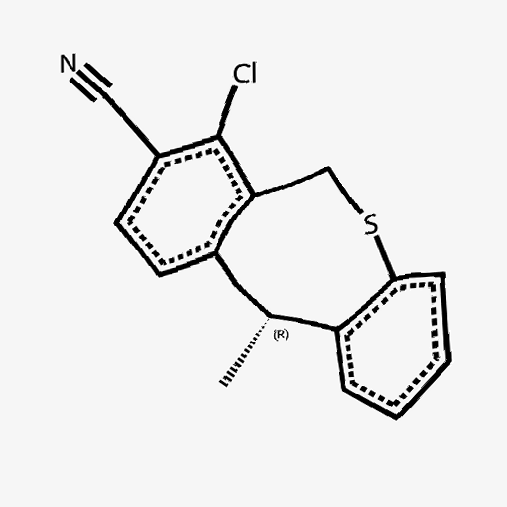 C[C@H]1c2ccccc2SCc2c1ccc(C#N)c2Cl